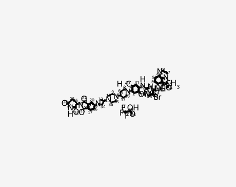 COc1cc(N2CCC(N3CCN(C4CN(c5ccc6c(c5)C(=O)N(C5CCC(=O)NC5=O)C6=O)C4)CC3)CC2)c(C)cc1Nc1ncc(Br)c(Nc2ccc3nccnc3c2P(C)(C)=O)n1.O=C(O)C(F)(F)F